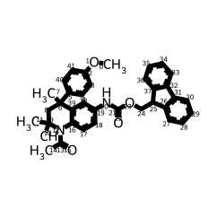 COc1ccc(C2(C)CC(C)(C)N(C(C)=O)c3ccc(NC(=O)OCC4c5ccccc5-c5ccccc54)cc32)cc1